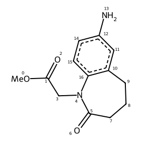 COC(=O)CN1C(=O)CCCc2cc(N)ccc21